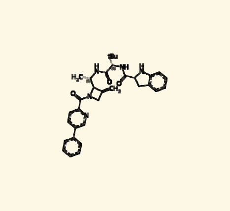 C=C1CN(C(=O)c2ccc(-c3ccccc3)cn2)C1[C@H](C)NC(=O)[C@@H](NC(=O)C1Cc2ccccc2N1)C(C)(C)C